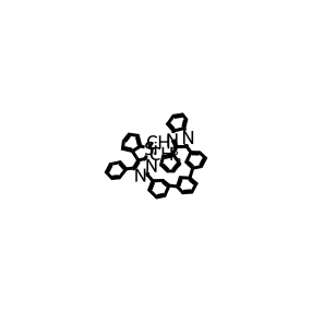 C[Si]1(C)c2ccccc2-c2c(-c3ccccc3)nc(-c3cccc(-c4cccc(-c5cccc(-c6nc7ccccc7nc6-c6ccccc6)c5)c4)c3)nc21